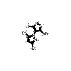 CCCC1=N[N]C(CC)=C1n1nc(CC)cc1CC